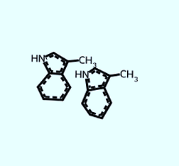 Cc1c[nH]c2ccccc12.Cc1c[nH]c2ccccc12